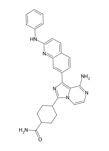 NC(=O)C1CCC(c2nc(-c3ccc4ccc(Nc5ccccc5)nc4c3)c3c(N)nccn23)CC1